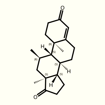 C[C@@H]1C[C@]2(C)C(=O)CC[C@H]2[C@@H]2CCC3=CC(=O)CC[C@]3(C)[C@H]21